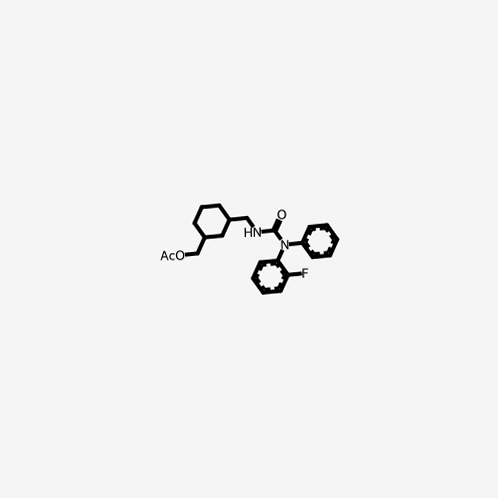 CC(=O)OCC1CCCC(CNC(=O)N(c2ccccc2)c2ccccc2F)C1